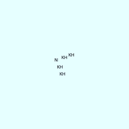 [KH].[KH].[KH].[KH].[N]